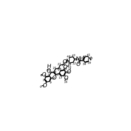 COc1cc(OC)c2c(c1)OC(c1cc(OC)c(OC)c(OC)c1)=C(CCCCON1CCC(NC(=O)c3ccncc3)CC1)C2O